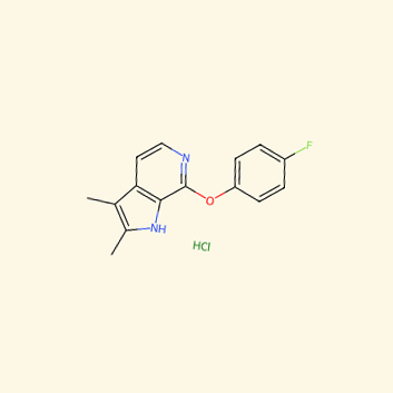 Cc1[nH]c2c(Oc3ccc(F)cc3)nccc2c1C.Cl